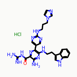 Cl.N=C(N)NC(=O)c1nc(-c2cnc(NCCCn3ccnc3)nc2)c(NCCc2c[nH]c3ccccc23)nc1N